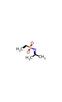 C=CS(=O)(=O)N=C(C)C